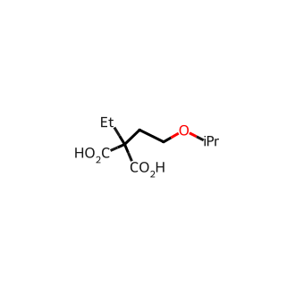 CCC(CCOC(C)C)(C(=O)O)C(=O)O